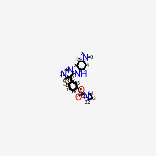 CN(C)[C@H]1CC[C@H](Nc2ncnc3sc4ccc(OC(=O)N5CCC5)cc4c23)CC1